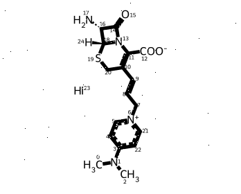 CN(C)c1cc[n+](CC=CC2=C(C(=O)[O-])N3C(=O)[C@@H](N)[C@H]3SC2)cc1.I